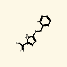 O=C(O)c1ccc(SCc2ccccc2)[nH]1